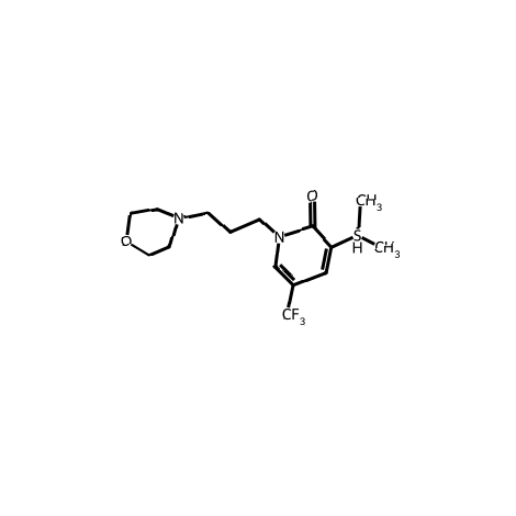 C[SH](C)c1cc(C(F)(F)F)cn(CCCN2CCOCC2)c1=O